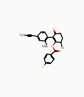 CC#Cc1ccc(C2=C(OC(=O)c3ccc(F)cc3)C(CC)CCC2=O)c(OC)c1